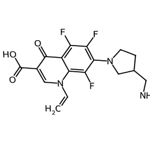 C=Cn1cc(C(=O)O)c(=O)c2c(F)c(F)c(N3CCC(CN)C3)c(F)c21